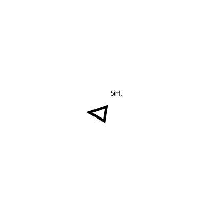 C1CC1.[SiH4]